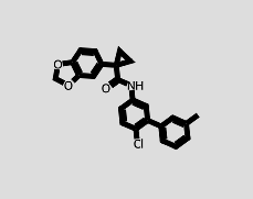 Cc1cccc(-c2cc(NC(=O)C3(c4ccc5c(c4)OCO5)CC3)ccc2Cl)c1